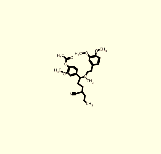 CCCC(C#N)CCC(c1ccc(OC(C)=O)c(OC)c1)N(C)CCc1ccc(OC)c(OC)c1